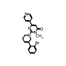 Cn1c(N2CCC=C(c3ccccc3Br)C2)nc(-c2ccncc2)cc1=O